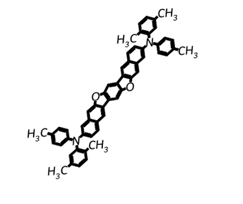 Cc1ccc(N(c2ccc3cc4c(cc3c2)oc2cc3c(cc24)oc2cc4cc(N(c5ccc(C)cc5)c5cc(C)ccc5C)ccc4cc23)c2cc(C)ccc2C)cc1